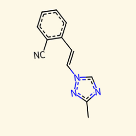 Cc1ncn(/C=C/c2ccccc2C#N)n1